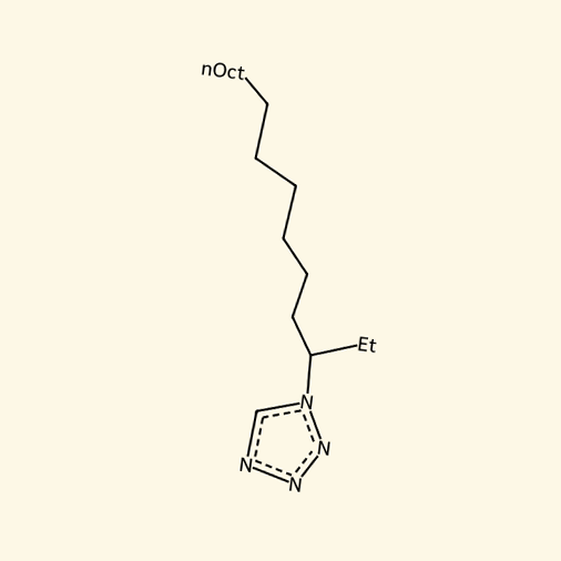 CCCCCCCCCCCCCCC(CC)n1cnnn1